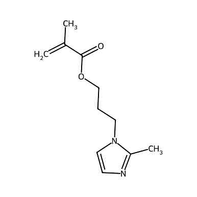 C=C(C)C(=O)OCCCn1ccnc1C